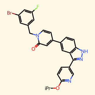 CC(C)Oc1ccc(-c2n[nH]c3ccc(-c4ccn(Cc5cc(F)cc(Br)c5)c(=O)c4)cc23)cn1